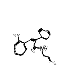 C=CCNC(=O)C(=Cc1ccccc1N)c1ccccc1